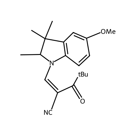 COc1ccc2c(c1)C(C)(C)C(C)N2/C=C(/C#N)C(=O)C(C)(C)C